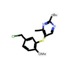 CCCCc1ncc(Sc2cc(CCl)ccc2OC)c(C)n1